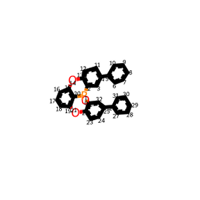 O=P12c3cc(-c4ccccc4)ccc3Oc3cccc(c31)Oc1ccc(-c3ccccc3)cc12